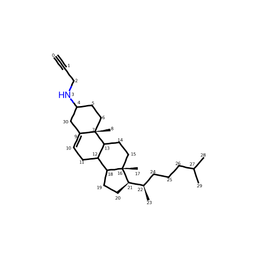 C#CCNC1CC[C@@]2(C)C(=CCC3C2CC[C@@]2(C)C3CC[C@@H]2[C@H](C)CCCC(C)C)C1